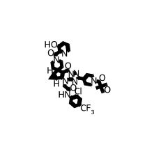 CC1(C(=O)N2CC=C(c3nc4n(CC(=O)Nc5ccc(C(F)(F)F)cc5Cl)c5c(c(=O)n4n3)C3(CCN(C(=O)c4ncccc4O)CC3)[C@@H]3C[C@H]53)CC2)COC1